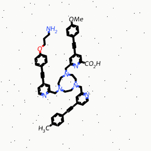 COc1ccc(C#Cc2cc(CN3CCN(Cc4cc(C#Cc5ccc(C)cc5)ccn4)CCN(Cc4cc(C#Cc5ccc(OCCCN)cc5)ccn4)CC3)nc(C(=O)O)c2)cc1